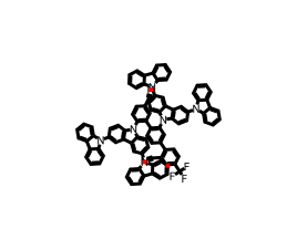 N#Cc1ccc(-n2c3ccc(-n4c5ccccc5c5ccccc54)cc3c3cc(-n4c5ccccc5c5ccccc54)ccc32)c(-c2ccc(-c3ccc(C(F)(F)F)cc3C#N)cc2-n2c3ccc(-n4c5ccccc5c5ccccc54)cc3c3cc(-n4c5ccccc5c5ccccc54)ccc32)c1